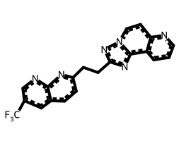 FC(F)(F)c1cnc2nc(CCc3nc4c5cccnc5ccn4n3)ccc2c1